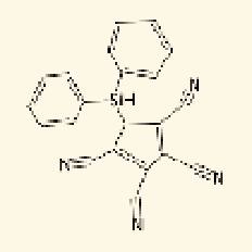 N#CC1=C(C#N)C([SiH](c2ccccc2)c2ccccc2)C(C#N)=C1C#N